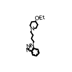 CCOC1CCN(CCCCn2nnc3ccccc32)CC1